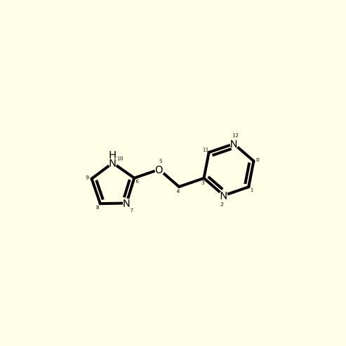 c1cnc(COc2ncc[nH]2)cn1